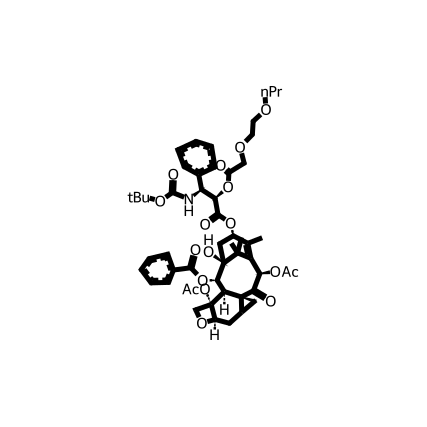 CCCOCCOCC(=O)O[C@@H](C(=O)O[C@H]1C[C@@]2(O)[C@@H](OC(=O)c3ccccc3)[C@@H]3[C@]4(OC(C)=O)CO[C@@H]4CC4C[C@@]43C(=O)[C@H](OC(C)=O)C(=C1C)C2(C)C)[C@@H](NC(=O)OC(C)(C)C)c1ccccc1